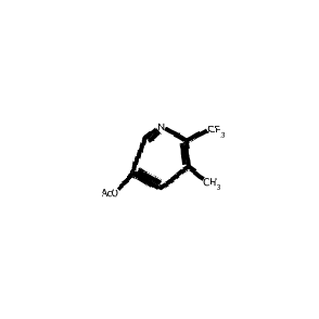 CC(=O)Oc1cnc(C(F)(F)F)c(C)c1